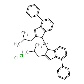 CC(C)CC1=Cc2c(-c3ccccc3)cccc2[CH]1[Zr+2][CH]1C(CC(C)C)=Cc2c(-c3ccccc3)cccc21.[Cl-].[Cl-]